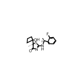 C[C@H](NC1=NC(=O)[C@@](C)(C2(O)CCC2)S1)c1ccccc1F